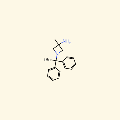 CC1(N)CN(C(c2ccccc2)(c2ccccc2)C(C)(C)C)C1